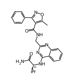 Cc1onc(-c2ccccc2)c1C(=O)NCc1nc(N[C@H](C(N)=O)C(C)C)c2ccccc2n1